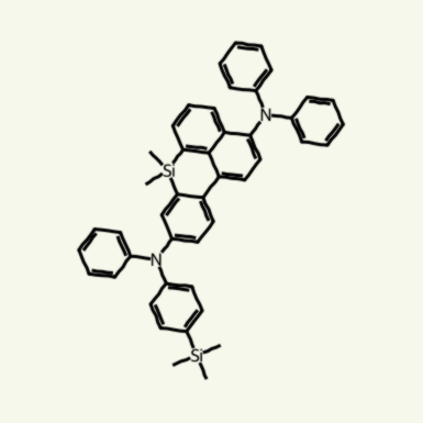 C[Si](C)(C)c1ccc(N(c2ccccc2)c2ccc3c(c2)[Si](C)(C)c2cccc4c(N(c5ccccc5)c5ccccc5)ccc-3c24)cc1